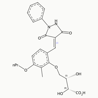 CCCOc1ccc(/C=C2/C(=O)NN(c3ccccc3)C2=O)c(OC[C@H](O)[C@@H](O)C(=O)O)c1C